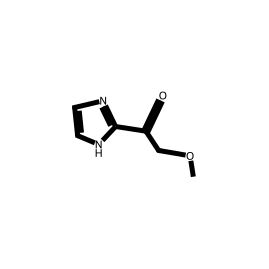 COCC(=O)c1ncc[nH]1